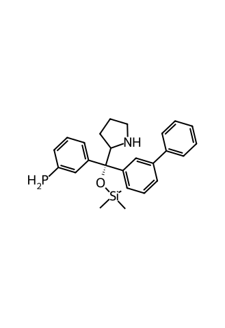 C[Si](C)(C)O[C@@](c1cccc(P)c1)(c1cccc(-c2ccccc2)c1)C1CCCN1